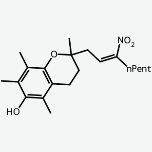 CCCCCC(=CCC1(C)CCc2c(C)c(O)c(C)c(C)c2O1)[N+](=O)[O-]